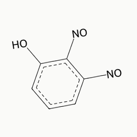 O=Nc1cccc(O)c1N=O